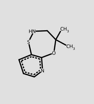 CC1(C)CNSc2cccnc2O1